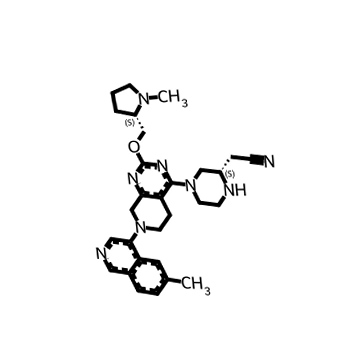 Cc1ccc2cncc(N3CCc4c(nc(OC[C@@H]5CCCN5C)nc4N4CCN[C@@H](CC#N)C4)C3)c2c1